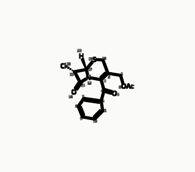 CC(=O)OCC1=C(C(=O)c2ccccc2)N2C(=O)[C@H](Cl)[C@@H]2SC1